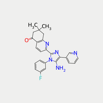 CC1(C)CC(=O)c2ccc(-c3nc(-c4cccnc4)c(N)n3-c3cccc(F)c3)nc2C1